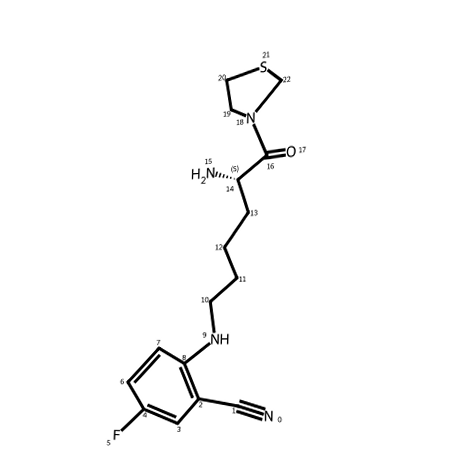 N#Cc1cc(F)ccc1NCCCC[C@H](N)C(=O)N1CCSC1